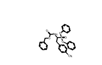 N#Cc1ccc(CC(NC(=O)OCc2ccccc2)P(=O)(Oc2ccccc2)Oc2ccccc2)cc1